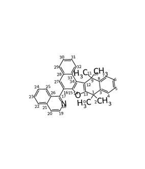 CC1(C)c2ccccc2C(C)(C)c2c1oc1c(-c3nccc4ccccc34)cc3ccccc3c21